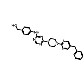 OCc1ccc(Nc2ncnc(N3CCN(c4ncc(Cc5ccccc5)cn4)CC3)n2)cc1